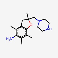 Cc1c(C)c2c(c(C)c1N)CC(C)(CN1CCNCC1)O2